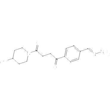 NN=Cc1ccc(C(=O)CCC(=O)N2CCC([O])CC2)cc1